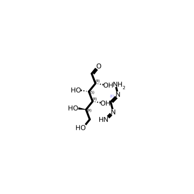 N=N/C=N/N.O=C[C@H](O)[C@@H](O)[C@H](O)[C@H](O)CO